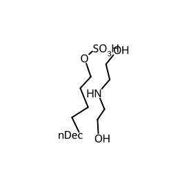 CCCCCCCCCCCCCCOS(=O)(=O)O.OCCNCCO